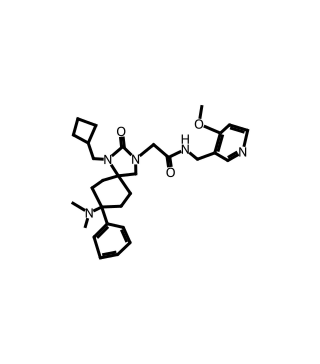 COc1ccncc1CNC(=O)CN1CC2(CCC(c3ccccc3)(N(C)C)CC2)N(CC2CCC2)C1=O